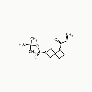 C=CC(=O)N1CCC12CN(C(=O)OC(C)(C)C)C2